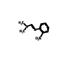 CN(C)/C=N/c1ccccc1[N+](=O)[O-]